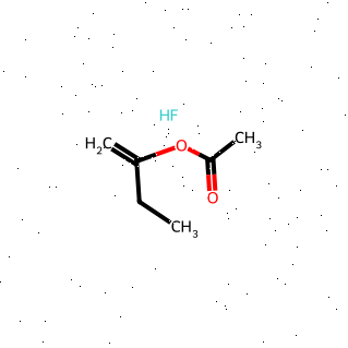 C=C(CC)OC(C)=O.F